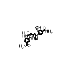 CC(C)(CCCNc1ccc(C(N)=O)cc1NO)Nc1ccc(C(N)=O)cc1N